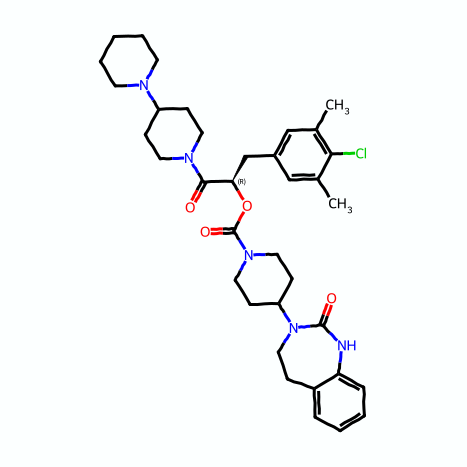 Cc1cc(C[C@@H](OC(=O)N2CCC(N3CCc4ccccc4NC3=O)CC2)C(=O)N2CCC(N3CCCCC3)CC2)cc(C)c1Cl